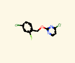 Fc1cc(Cl)ccc1COc1nccc(Cl)n1